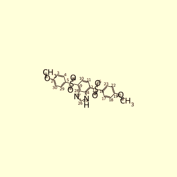 COc1ccc(S(=O)(=O)c2ccc(S(=O)(=O)c3ccc(OC)cc3)c3[nH]cnc23)cc1